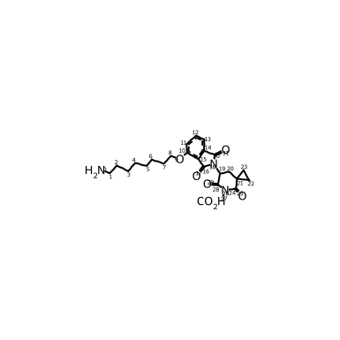 NCCCCCCCCOc1cccc2c1C(=O)N(C1CC3(CC3)C(=O)N(C(=O)O)C1=O)C2=O